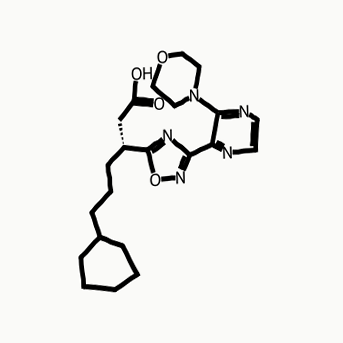 O=C(O)C[C@@H](CCCC1CCCCC1)c1nc(-c2nccnc2N2CCOCC2)no1